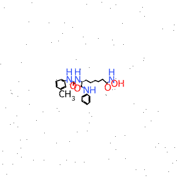 Cc1cccc(NC(=O)N[C@@H](CCCCCC(=O)NO)C(=O)Nc2ccccc2)c1